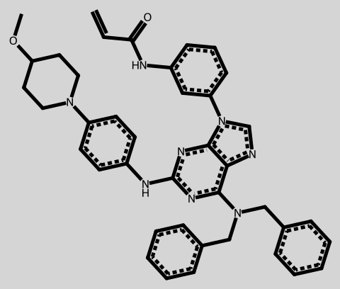 C=CC(=O)Nc1cccc(-n2cnc3c(N(Cc4ccccc4)Cc4ccccc4)nc(Nc4ccc(N5CCC(OC)CC5)cc4)nc32)c1